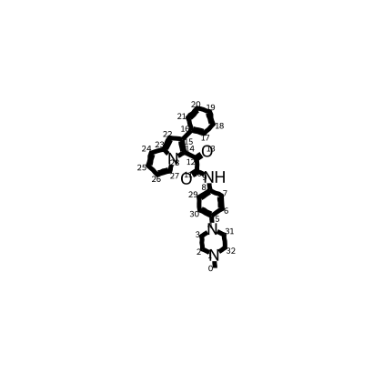 CN1CCN(c2ccc(NC(=O)C(=O)c3c(-c4ccccc4)cc4ccccn34)cc2)CC1